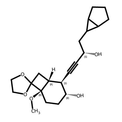 CO[C@]12CC[C@@H](O)[C@H](C#C[C@@H](O)CC3C4CCCC43)[C@H]1CC21OCCO1